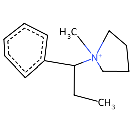 CCC(c1ccccc1)[N+]1(C)CCCC1